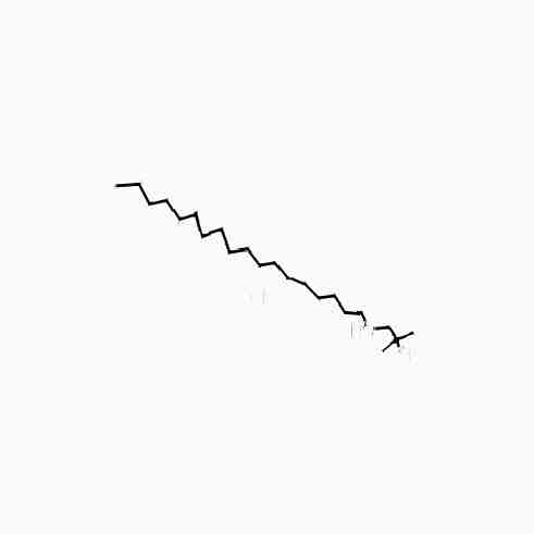 CCCCCCCCCCCCCCCCCCNCC(C)(C)S.Cl